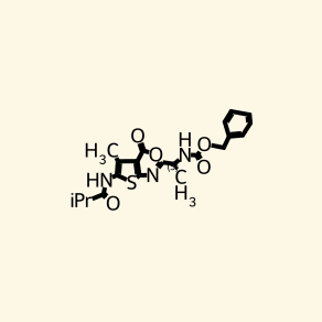 Cc1c(NC(=O)C(C)C)sc2nc([C@H](C)NC(=O)OCc3ccccc3)oc(=O)c12